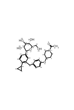 CC(=O)N1CCC(Oc2ccc(Cc3cc([C@@H]4O[C@H](CO)[C@@H](O)C(O)[C@H]4O)ccc3C3CC3)cc2)CC1